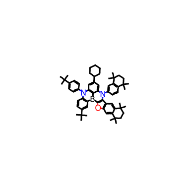 CC(C)(C)c1ccc(N2c3ccc(C(C)(C)C)cc3B3c4oc5cc6c(cc5c4N(c4ccc5c(c4)C(C)(C)CCC5(C)C)c4cc(C5CCCCC5)cc2c43)C(C)(C)CCC6(C)C)cc1